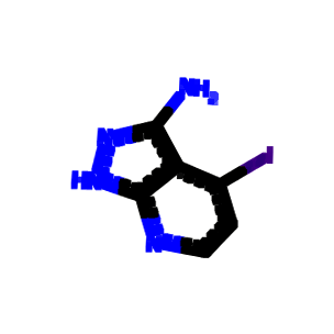 Nc1n[nH]c2nccc(I)c12